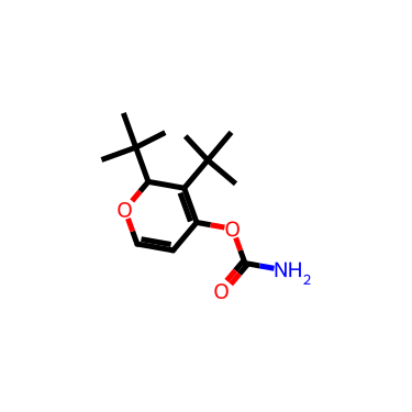 CC(C)(C)C1=C(OC(N)=O)C=COC1C(C)(C)C